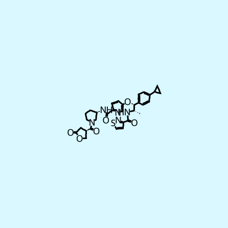 C[C@H](NC(=O)c1ccsn1)[C@H](Oc1ccc(C(=O)N[C@H]2CCCN(C(=O)[C@H]3COC(=O)C3)C2)nc1)c1ccc(C2CC2)cc1